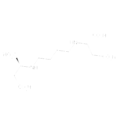 O=C(O)C[C@H](NCCCCN[C@@H](CC(=O)O)C(=O)O)C(=O)O